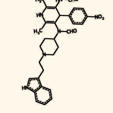 CC1=C(NC=O)C(c2ccc([N+](=O)[O-])cc2)C(N(C=O)C2CCN(CCc3c[nH]c4ccccc34)CC2)=C(C)N1